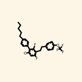 CCCCCc1ccc(-c2c([O])cc(F)c(CCc3ccc(OC(F)(F)F)cc3)c2F)cc1